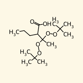 CCCC(C(=O)O)C(C)(OOC(C)(C)C)OOC(C)(C)C